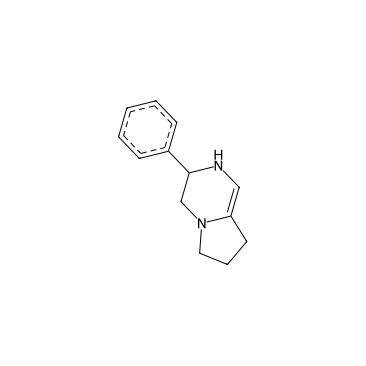 C1=C2CCCN2CC(c2ccccc2)N1